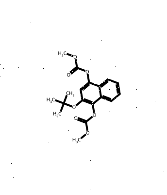 COC(=O)Oc1cc(OC(C)(C)C)c(OC(=O)OC)c2ccccc12